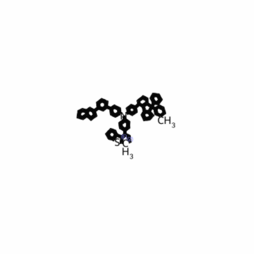 C/C=C\C(=C1/CSc2ccccc21)c1ccc(N(c2ccc(-c3cccc(-c4ccc5ccccc5c4)c3)cc2)c2ccc(C3CC=CC4=C3c3ccccc3C4(C3=CC(C)CC=C3)c3ccccc3)cc2)cc1